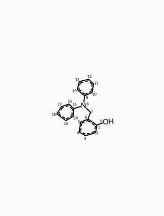 Oc1ccccc1CN(c1ccccc1)c1ccccc1